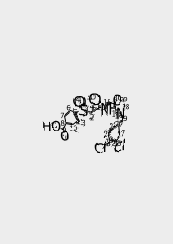 O=C(C[S+]([O-])c1ccc(C(=O)O)cc1)NCC1CN(Cc2ccc(Cl)c(Cl)c2)CCO1